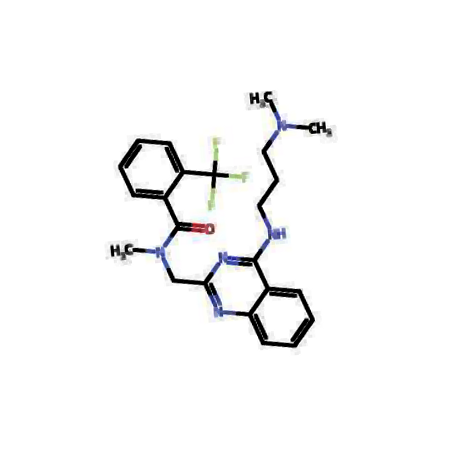 CN(C)CCCNc1nc(CN(C)C(=O)c2ccccc2C(F)(F)F)nc2ccccc12